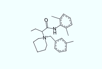 CCC(C(=O)Nc1c(C)cccc1C)[N+]1(Cc2cccc(C)c2)CCCCC1